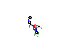 C[C@@H]1CN(c2cc(F)c(Cl)c(F)c2)CCN1C(=O)NCCC1CCN(Cc2ccccc2)CC1